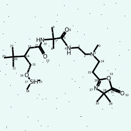 CN(CCNC(=O)C(C)(C)NC(=O)CC(CO[SiH](C)C)C(C)(C)C)CCC1=NC(C)(C)C(=O)O1